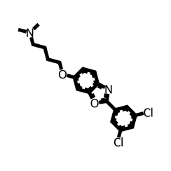 CN(C)CCCCOc1ccc2nc(-c3cc(Cl)cc(Cl)c3)oc2c1